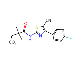 CC(C)(CC(=O)O)C(=O)Nc1nc(-c2ccc(F)cc2)c(C#N)s1